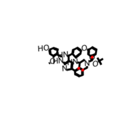 COc1cc(O)ccc1CNc1ncc(-c2ccccc2)c(NC2CCCN(C(=O)OC(C)(C)C)C2)c1C(=N)c1ccc(Oc2ccccc2)cc1